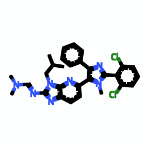 CC(C)Cn1c(N=CN(C)C)nc2ccc(-c3c(-c4ccccc4)nc(-c4c(Cl)cccc4Cl)n3C)nc21